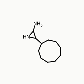 NC1NC1C1CCCCCCCC1